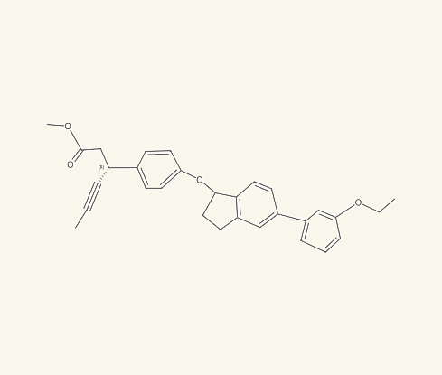 CC#C[C@H](CC(=O)OC)c1ccc(OC2CCc3cc(-c4cccc(OCC)c4)ccc32)cc1